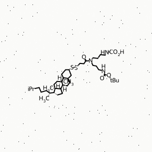 CC(C)CCC[C@@H](C)[C@H]1CC[C@H]2[C@@H]3CC=C4C[C@@H](SSCCC(=O)N(CCCCNC(=O)O)CCCNC(=O)OC(C)(C)C)CC[C@]4(C)[C@H]3CC[C@]12C